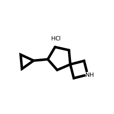 C1CC1C1CCC2(CNC2)C1.Cl